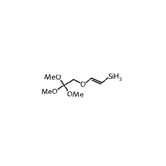 COC(COC=C[SiH3])(OC)OC